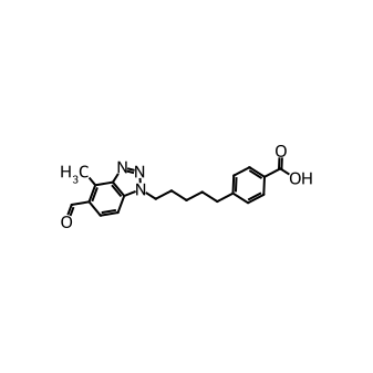 Cc1c(C=O)ccc2c1nnn2CCCCCc1ccc(C(=O)O)cc1